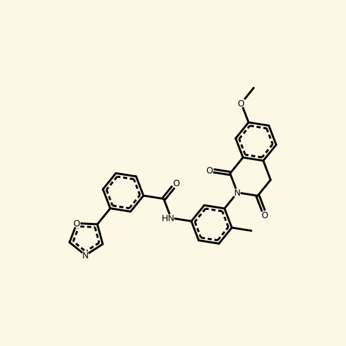 COc1ccc2c(c1)C(=O)N(c1cc(NC(=O)c3cccc(-c4cnco4)c3)ccc1C)C(=O)C2